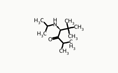 CC(C)N[C@H](C(=O)C(C)C)C(C)(C)C